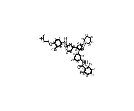 CN(C)CCOc1ccc(Nc2nccc(-c3sc(N4CCCCC4)nc3-c3cccc(NC(=O)c4c(F)cccc4F)c3)n2)cc1Cl